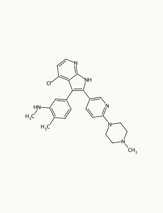 CNc1cc(-c2c(-c3ccc(N4CCN(C)CC4)nc3)[nH]c3nccc(Cl)c23)ccc1C